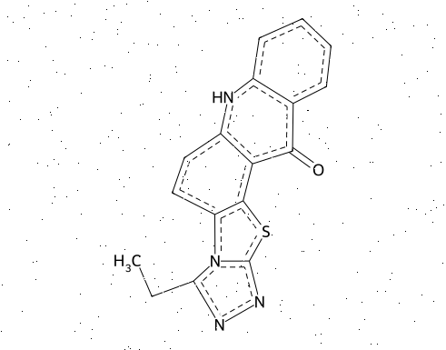 CCc1nnc2sc3c4c(=O)c5ccccc5[nH]c4ccc3n12